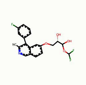 N#Cc1ncc2ccc(OC[C@H](O)C(O)OC(F)F)cc2c1-c1cccc(F)c1